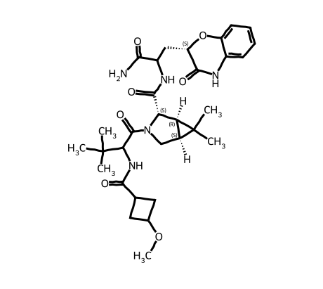 COC1CC(C(=O)NC(C(=O)N2C[C@H]3[C@@H]([C@H]2C(=O)NC(C[C@@H]2Oc4ccccc4NC2=O)C(N)=O)C3(C)C)C(C)(C)C)C1